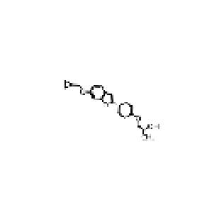 CC(O)CO[C@H]1CC[C@H](c2cc3ccc(OCC4CC4)cc3o2)CC1